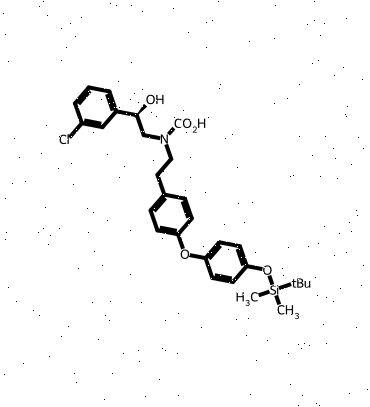 CC(C)(C)[Si](C)(C)Oc1ccc(Oc2ccc(CCN(C[C@H](O)c3cccc(Cl)c3)C(=O)O)cc2)cc1